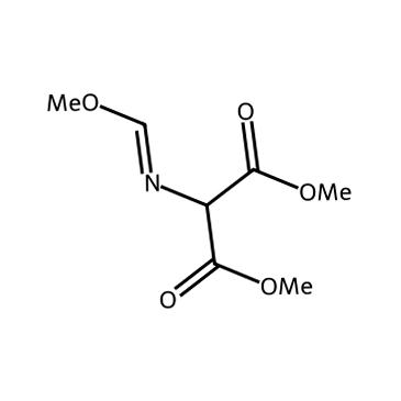 CO/C=N/C(C(=O)OC)C(=O)OC